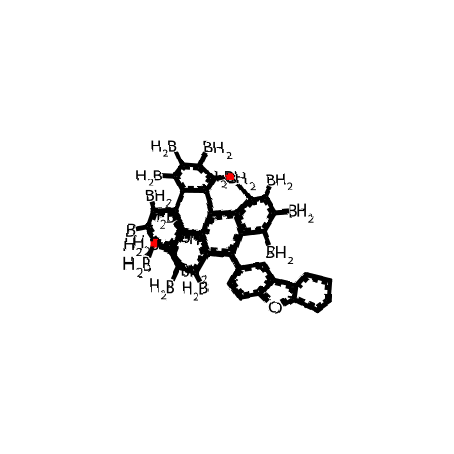 Bc1c(B)c(B)c(-c2c(B)c(B)c(B)c(B)c2-c2c3c(B)c(B)c(B)c(B)c3c(-c3ccc4oc5ccccc5c4c3)c3c(B)c(B)c(B)c(B)c23)c(B)c1B